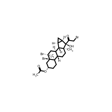 CC(=O)O[C@H]1CC[C@]2(C)[C@H]3CC[C@@]4(C)[C@@H]([C@H]5C[C@H]5[C@]4(O)C(=O)CBr)[C@@H]3C[C@@H](Br)[C@@]2(Br)C1